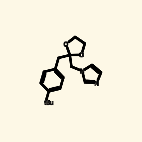 CC(C)(C)c1ccc(CC2(Cn3ccnc3)OCCO2)cc1